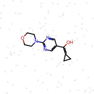 OC(=C1CC1)c1cnc(N2CCOCC2)nc1